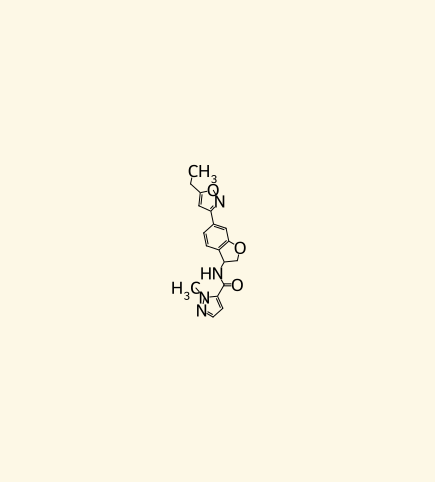 CCc1cc(-c2ccc3c(c2)OCC3NC(=O)c2ccnn2C)no1